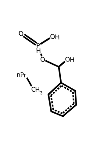 CCCC.O=[PH](O)OC(O)c1ccccc1